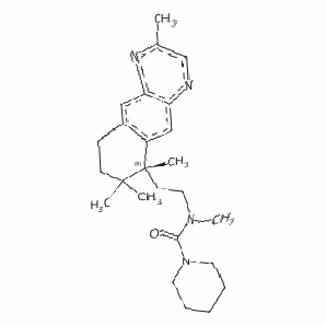 Cc1cnc2cc3c(cc2n1)CCC(C)(C)[C@@]3(C)CCN(C)C(=O)N1CCCCC1